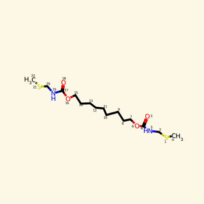 CSCNC(=O)OCCCCCCCCCOC(=O)NCSC